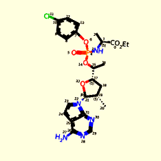 CCOC(=O)[C@H](C)NP(=O)(Oc1ccc(Cl)cc1)OC(C)[C@@H]1C[C@H](C)[C@H](n2ccc3c(N)ncnc32)O1